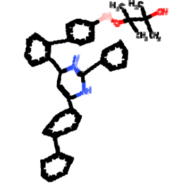 CC(C)(O)C(C)(C)OBc1ccc(-c2ccccc2C2C=C(c3ccc(-c4ccccc4)cc3)NC(c3ccccc3)N2)cc1